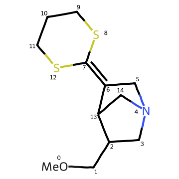 COCC1CN2CC(=C3SCCCS3)C1C2